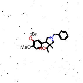 COc1ccc(C2CN(Cc3ccccc3)CC2(C)C(C)O)cc1OC(C)(C)C